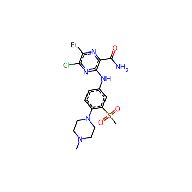 CCc1nc(C(N)=O)c(Nc2ccc(N3CCN(C)CC3)c(S(C)(=O)=O)c2)nc1Cl